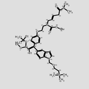 CCOB(OC(C)(C)CC)/C(CC)=C(\c1ccc(OCCN(C/C=C/CC(=O)N(C)C)C(=O)OC(C)(C)C)cc1)c1ccc2c(ccn2COCC[Si](C)(C)C)c1